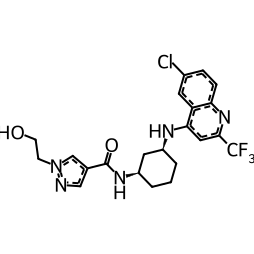 O=C(N[C@@H]1CCC[C@H](Nc2cc(C(F)(F)F)nc3ccc(Cl)cc23)C1)c1cnn(CCO)c1